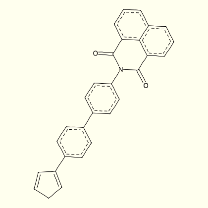 O=C1c2cccc3cccc(c23)C(=O)N1c1ccc(-c2ccc(C3=CCC=C3)cc2)cc1